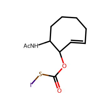 CC(=O)NC1CCCC/C=C/C1OC(=O)SI